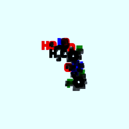 Cc1c(CO)noc1Oc1ccc(-n2ncn(Cc3c(F)cccc3F)c2=O)cc1F